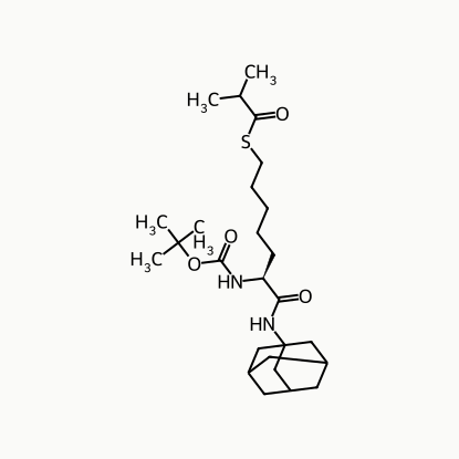 CC(C)C(=O)SCCCCC[C@H](NC(=O)OC(C)(C)C)C(=O)NC12CC3CC(CC(C3)C1)C2